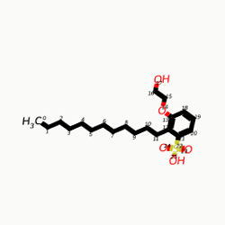 CCCCCCCCCCCCc1c(OCCO)cccc1S(=O)(=O)O